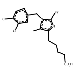 Cc1c(CCCCC(=O)O)nc(C(C)C)n1Cc1ccc(Cl)c(Cl)c1